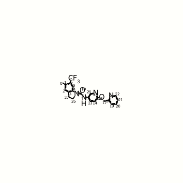 Cc1cc2c(cc1C(F)(F)F)N(C(=O)Nc1ccc(OCc3ccccn3)nc1)CC2